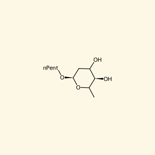 CCCCCO[C@H]1CC(O)[C@@H](O)C(C)O1